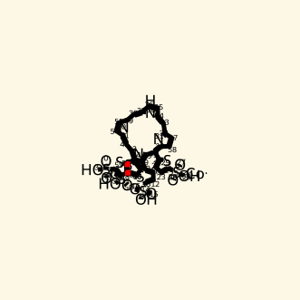 O=S(=O)(O)c1ccc(-c2c(-c3ccc(S(=O)(=O)O)s3)c3c(-c4ccc(S(=O)(=O)O)s4)c4nc(cc5ccc(cc6nc(cc2n3-c2ccc(S(=O)(=O)O)s2)C=C6)[nH]5)C=C4)s1.[Co]